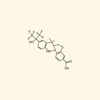 CC1(C)c2cc(C(O)(C(F)(F)F)C(F)(F)F)ccc2NC2c3ccc(C(=O)O)cc3SCC21